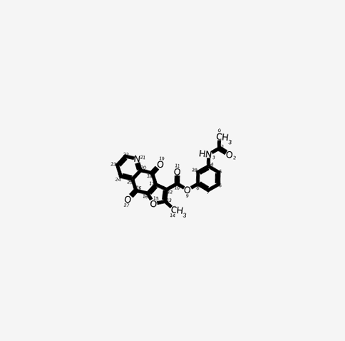 CC(=O)Nc1cccc(OC(=O)c2c(C)oc3c2C(=O)c2ncccc2C3=O)c1